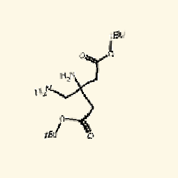 CC(C)(C)OC(=O)CC(N)(CN)CC(=O)OC(C)(C)C